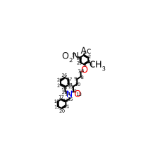 CC(=O)c1cc(C)c(OCCCCCC(=O)N(Cc2ccccc2)Cc2ccccc2)cc1[N+](=O)[O-]